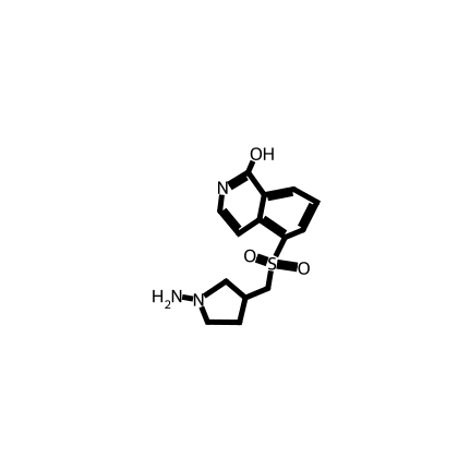 NN1CCC(CS(=O)(=O)c2cccc3c(O)nccc23)C1